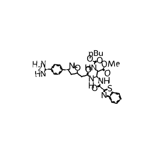 CCCCOC(=O)NC(C(=O)OC)[C@H](NC(=O)CC1CC(c2ccc(C(=N)N)cc2)=NO1)NC(=O)c1nc2ccccc2s1